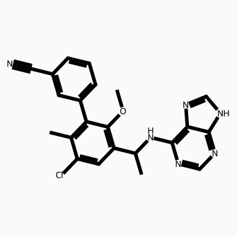 COc1c(C(C)Nc2ncnc3[nH]cnc23)cc(Cl)c(C)c1-c1cccc(C#N)c1